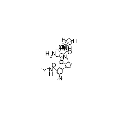 COc1c(CN2O[C@@H](CN)C(C(C)O)[C@H]2C(=O)N[C@H]2C[C@H]3C[C@@H]([C@@H]2C)C3(C)C)cccc1-c1cc(C(=O)NCC(C)C)cc(N(C)C)c1